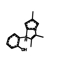 CC1=C(C)[SH](c2ccccc2O)c2cc(C)cn21